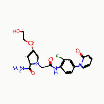 NC(=O)C1[CH][C@H](OCCO)CN1CC(=O)Nc1ccc(-n2ccccc2=O)cc1F